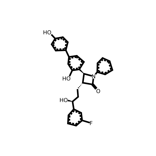 O=C1[C@H](CC[C@H](O)c2cccc(F)c2)[C@@H](c2ccc(-c3ccc(O)cc3)cc2O)N1c1ccccc1